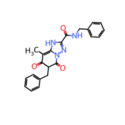 CC1=C2NC(C(=O)NCc3ccccc3)=NN2C(=O)C(Cc2ccccc2)C1=O